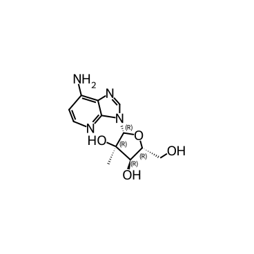 C[C@@]1(O)[C@H](O)[C@@H](CO)O[C@H]1n1cnc2c(N)ccnc21